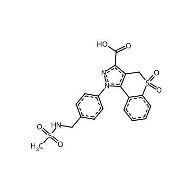 CS(=O)(=O)NCc1ccc(-n2nc(C(=O)O)c3c2-c2ccccc2S(=O)(=O)C3)cc1